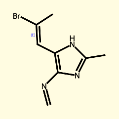 C=Nc1nc(C)[nH]c1/C=C(\C)Br